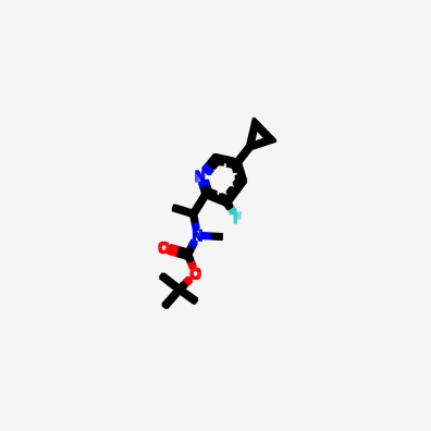 CC(c1ncc(C2CC2)cc1F)N(C)C(=O)OC(C)(C)C